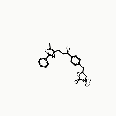 Cc1oc(-c2ccccc2)nc1CCC(=O)c1ccc(CC2C[NH+]([O-])C(=O)S2)cc1